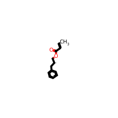 CC=CC(=O)OC[CH]Cc1ccccc1